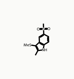 CSc1c(C)[nH]c2ccc(S(C)(=O)=O)cc12